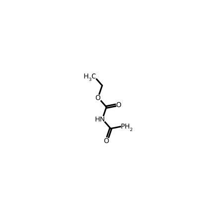 CCOC(=O)NC(=O)P